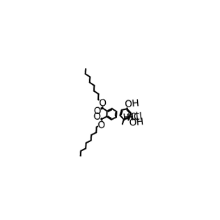 CCCCCCCCOC(=O)c1ccccc1C(=O)OCCCCCCCC.Cc1ccc(O)cc1O.Cl.Cl